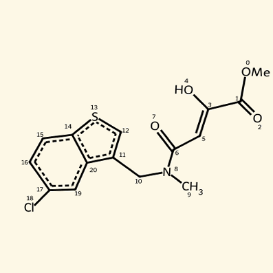 COC(=O)/C(O)=C/C(=O)N(C)Cc1csc2ccc(Cl)cc12